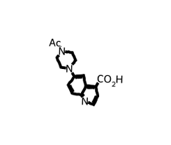 CC(=O)N1CCN(c2ccc3nccc(C(=O)O)c3c2)CC1